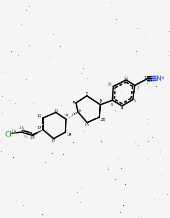 N#Cc1ccc(C2CCC([C@H]3CC[C@H](/C=C/Cl)CC3)CC2)cc1